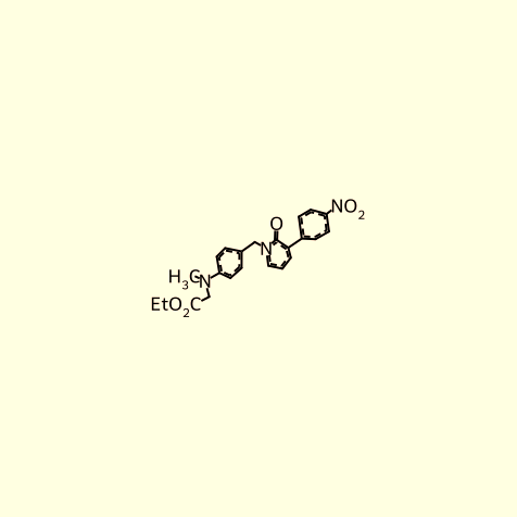 CCOC(=O)CN(C)c1ccc(Cn2cccc(-c3ccc([N+](=O)[O-])cc3)c2=O)cc1